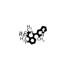 Cc1nn2cccc2cc1C1=NC(C)(C)C(C)(C)c2c(F)cccc21